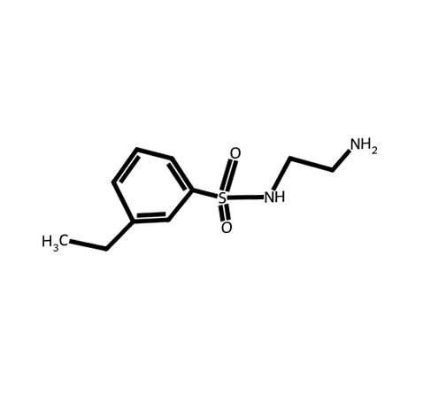 CCc1cccc(S(=O)(=O)NCCN)c1